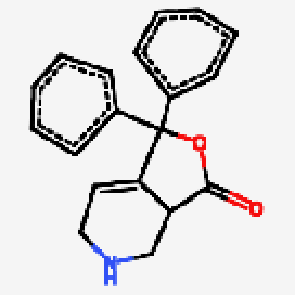 O=C1OC(c2ccccc2)(c2ccccc2)C2=CCNCC12